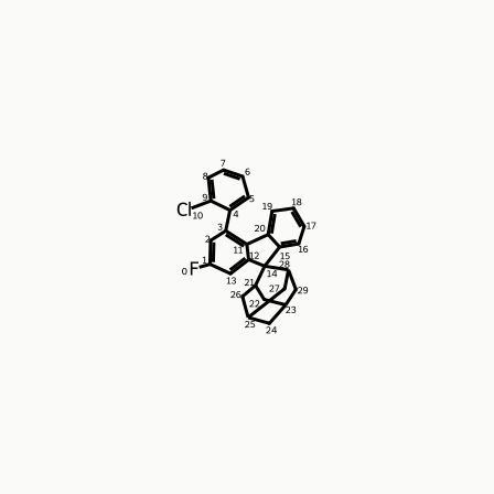 Fc1cc(-c2ccccc2Cl)c2c(c1)C1(c3ccccc3-2)C2CC3CC(C2)CC1C3